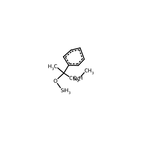 CC#N.CC(O[SiH3])(C(=O)O)c1ccccc1